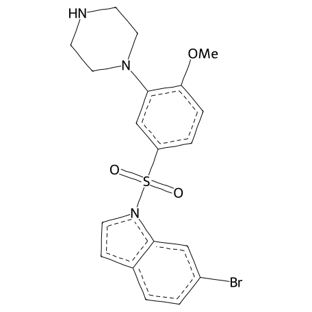 COc1ccc(S(=O)(=O)n2ccc3ccc(Br)cc32)cc1N1CCNCC1